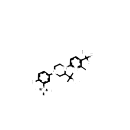 Cc1nc(N2CCN(c3ccc(F)c(S(C)(=O)=O)c3)CC2C(C)(C)O)ccc1C(F)(F)F